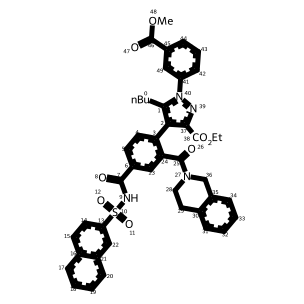 CCCCc1c(-c2ccc(C(=O)NS(=O)(=O)c3ccc4ccccc4c3)cc2C(=O)N2CCc3ccccc3C2)c(C(=O)OCC)nn1-c1cccc(C(=O)OC)c1